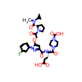 CN(C(=O)[C@@H]1CCCN1C(=O)COc1cc(C(=O)N[C@@H](CCC(=O)O)C(=O)N2CCN(C(=O)O)CC2)nn1-c1cccc(F)c1)C1CC1